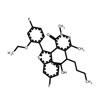 CCCCC(C(=O)O)c1c(C)nn(C)c(=O)c1-c1c(-c2ccc(F)cc2OCC)sc2cc(F)ccc12